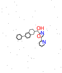 OC(c1ncc(-c2ccccn2)o1)C1CCc2cc(-c3ccccc3)ccc2C1